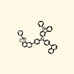 c1ccc(-c2nc3c(ccc4ccc(-c5ccc(N(c6ccc(-c7cccc8ccccc78)cc6)c6ccc7c(c6)c6ccccc6n7-c6ccccc6)cc5)cc43)o2)cc1